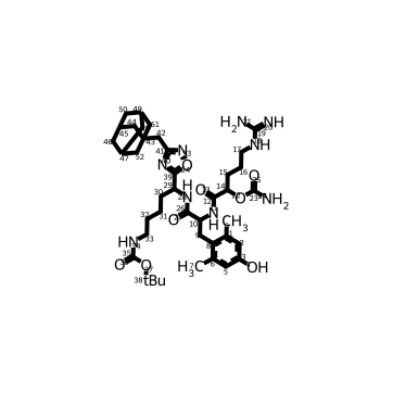 Cc1cc(O)cc(C)c1CC(NC(=O)C(CCCNC(=N)N)OC(N)=O)C(=O)NC(CCCCNC(=O)OC(C)(C)C)c1nc(CC23CC4CC(CC(C4)C2)C3)no1